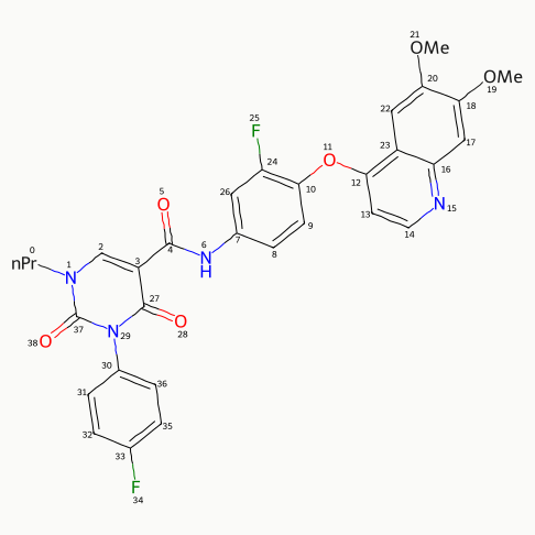 CCCn1cc(C(=O)Nc2ccc(Oc3ccnc4cc(OC)c(OC)cc34)c(F)c2)c(=O)n(-c2ccc(F)cc2)c1=O